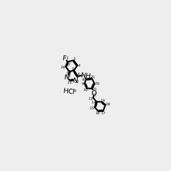 Cl.Fc1ccc2c(Nc3ccc(OCc4ccccc4)cc3)ncnc2c1